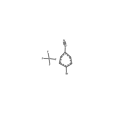 F[B-](F)(F)F.N#[N+]c1ccc(Br)cc1